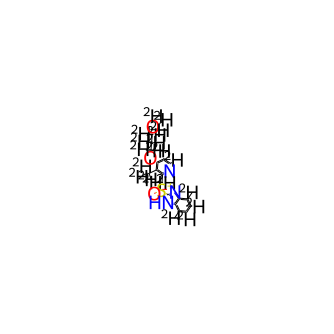 [2H]c1nc(C([2H])([2H])[S+]([O-])c2nc3c([2H])c([2H])c([2H])c([2H])c3[nH]2)c(C([2H])([2H])[2H])c(OC([2H])([2H])C([2H])([2H])C([2H])([2H])OC([2H])([2H])[2H])c1[2H]